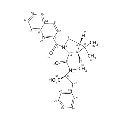 CN(C(=O)C1[C@@H]2[C@H](CN1C(=O)c1ccc3ccccc3n1)C2(C)C)[C@@H](Cc1ccccc1)C(=O)O